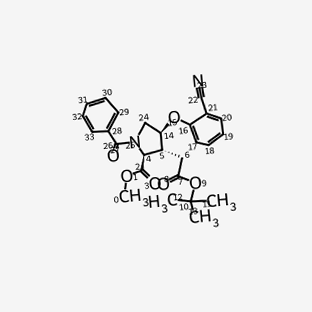 COC(=O)[C@@H]1[C@@H](CC(=O)OC(C)(C)C)[C@H](Oc2ccccc2C#N)CN1C(=O)c1ccccc1